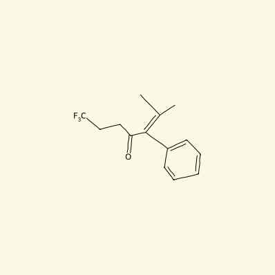 CC(C)=C(C(=O)CCC(F)(F)F)c1ccccc1